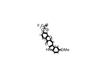 COc1ccc2[nH]cc(C=C3Oc4cc(OS(=O)(=O)C(F)(F)F)ccc4C3=O)c2c1